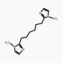 Cn1ccnc1CCCCCCc1nccn1C